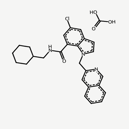 O=C(NCC1CCCCC1)c1cc(Cl)cc2ccn(Cc3cc4ccccc4cn3)c12.O=C(O)O